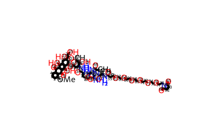 COc1cccc2c1C(=O)c1c(O)c3c(c(O)c1C2=O)C[C@@](O)(C(=O)CO)C[C@@H]3O[C@H]1C[C@H](NC(=O)C(CC(C)C)NC(=O)[C@@H](CC(N)=O)NC(=O)[C@@H](C)NC(=O)[C@@H](C)NC(=O)CCOCCOCCOCCOCCOCCOCCN2C(=O)C=CC2=O)[C@H](O)[C@H](C)O1